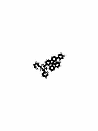 C1=CCC(C2(c3ccccc3)c3cc(-c4ccccc4)ccc3-c3ccc(-c4nc(-c5ccccn5)nc(-c5ccccn5)n4)cc32)C=C1